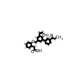 CC[C@H](N)c1cccc(-c2cc(COc3ccccc3CC(=O)O)cc3ccoc23)c1